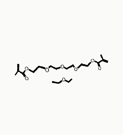 C=C(C)C(=O)OCCOCCOCCOCCOC(=O)C(=C)C.CCOCC